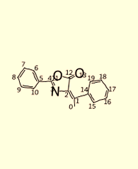 C/C(=C1\N=C(c2ccccc2)OC1=O)c1ccccc1